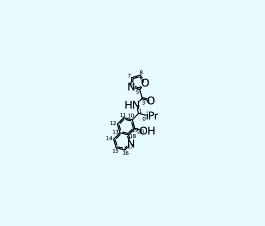 CC(C)C(NC(=O)c1ncco1)c1ccc2cccnc2c1O